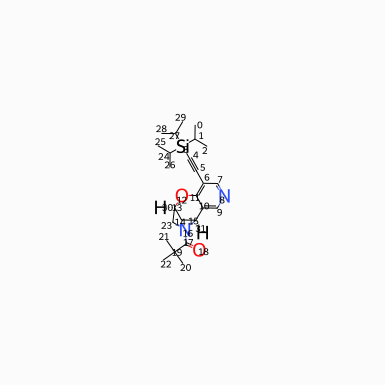 CC(C)[Si](C#Cc1cncc2c1O[C@H]1C[C@@H]2N(C(=O)C(C)(C)C)C1)(C(C)C)C(C)C